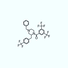 O=C(c1cc(C(F)(F)F)cc(C(F)(F)F)c1)N1CCN(Cc2ccccc2)CC1Cc1ccc(C(F)(F)F)cc1